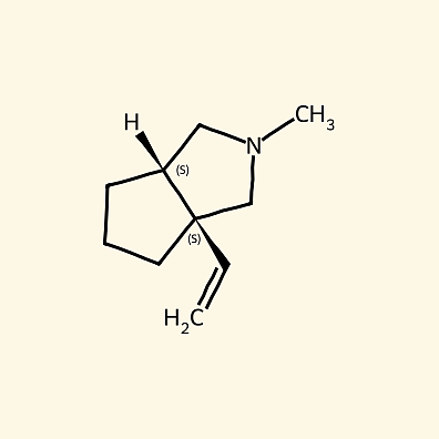 C=C[C@@]12CCC[C@@H]1CN(C)C2